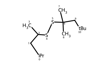 CC(C)CC(C)SSC(C)(C)CC(C)(C)C